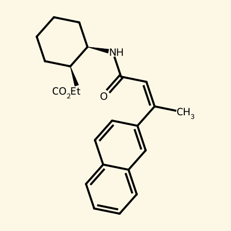 CCOC(=O)[C@H]1CCCC[C@H]1NC(=O)/C=C(/C)c1ccc2ccccc2c1